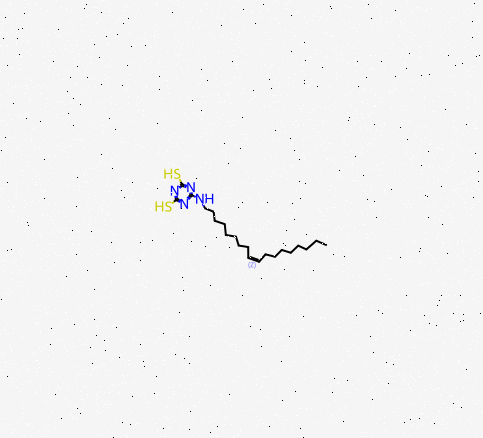 CCCCCCCC/C=C\CCCCCCCCNc1nc(S)nc(S)n1